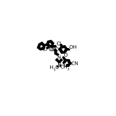 CN(C)C1CN(CCCOC2(COc3cc(OCc4cncc(C#N)c4)c(CO)cc3Cl)C=CC=C(c3ccccc3)C2(C)Cl)C1